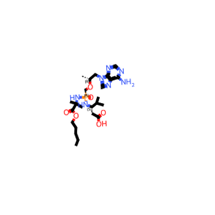 CCCCCOC(=O)C(C)(C)N[P@@](=O)(CO[C@H](C)Cn1cnc2c(N)ncnc21)N[C@@H](CC(=O)O)C(C)C